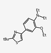 CCOc1cc(-c2csc(C(C)(C)C)n2)ccc1N(CC)CC